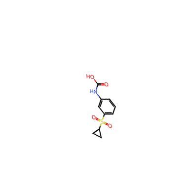 O=C(O)Nc1cccc(S(=O)(=O)C2CC2)c1